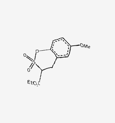 CCOC(=O)C1Cc2cc(OC)ccc2OS1(=O)=O